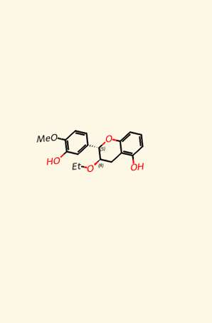 CCO[C@@H]1Cc2c(O)cccc2O[C@H]1c1ccc(OC)c(O)c1